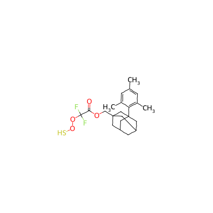 Cc1cc(C)c(C23CC4CC(CC(COC(=O)C(F)(F)OOS)(C4)C2)C3)c(C)c1